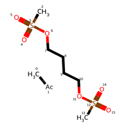 CC(C)=O.CS(=O)(=O)OCCCCOS(C)(=O)=O